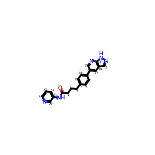 O=C(CCCc1ccc(-c2cnc3[nH]ncc3c2)cc1)Nc1cccnc1